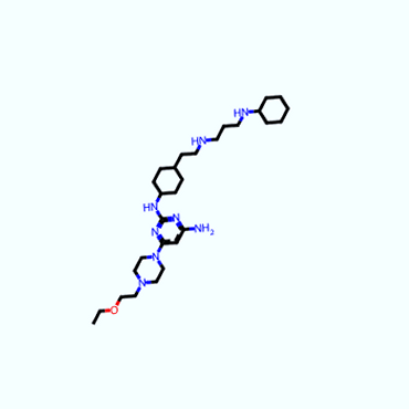 CCOCCN1CCN(c2cc(N)nc(NC3CCC(CCNCCCNC4CCCCC4)CC3)n2)CC1